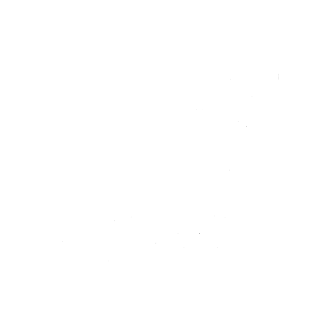 CCC1(CO)COB(c2cc3c(s2)-c2sc(B4OCC(CC)(CO)CO4)cc2C(C)(C)O3)OC1